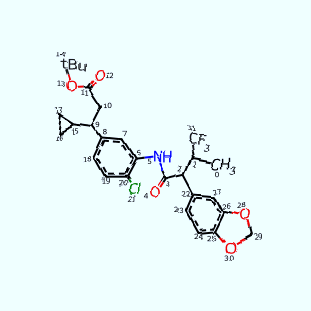 CC(C(C(=O)Nc1cc(C(CC(=O)OC(C)(C)C)C2CC2)ccc1Cl)c1ccc2c(c1)OCO2)C(F)(F)F